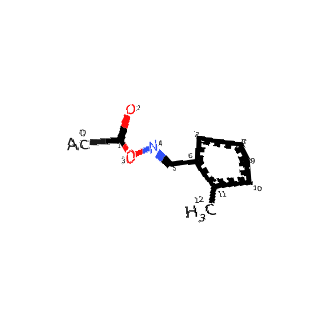 CC(=O)C(=O)O/N=C/c1ccccc1C